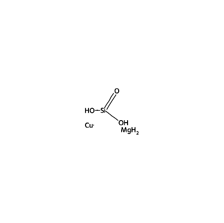 O=[Si](O)O.[Cu].[MgH2]